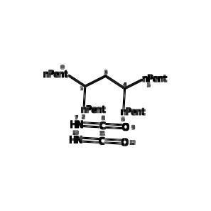 CCCCCC(CCCCC)CC(CCCCC)CCCCC.N=C=O.N=C=O